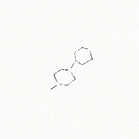 CCCN1CCN(C2CCOCC2)CC1